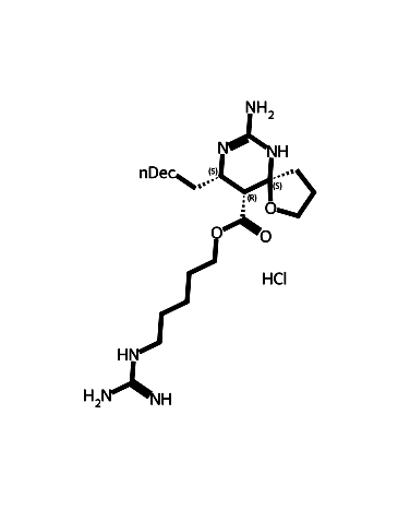 CCCCCCCCCCC[C@@H]1N=C(N)N[C@]2(CCCO2)[C@@H]1C(=O)OCCCCCNC(=N)N.Cl